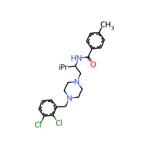 Cc1ccc(C(=O)NC(CN2CCN(Cc3cccc(Cl)c3Cl)CC2)C(C)C)cc1